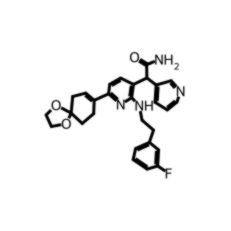 NC(=O)C(c1cccnc1)c1ccc(C2=CCC3(CC2)OCCO3)nc1NCCc1cccc(F)c1